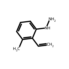 C=Cc1c(C)cccc1NN